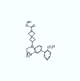 CCOC(=O)c1ccccc1-c1ccc(N(CC(C)C)C2CC3(C2)CN(C(=O)OC(C)(C)C)C3)c([N+](=O)[O-])c1